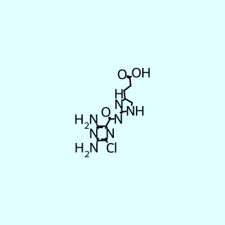 Nc1nc(N)c(C(=O)/N=C2/NCC(CCC(=O)O)N2)nc1Cl